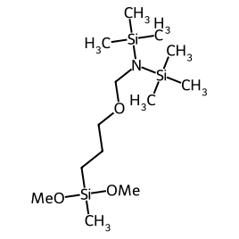 CO[Si](C)(CCCOCN([Si](C)(C)C)[Si](C)(C)C)OC